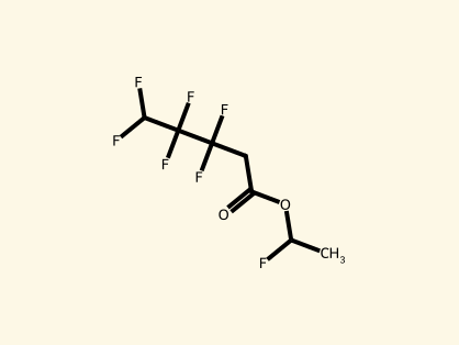 CC(F)OC(=O)CC(F)(F)C(F)(F)C(F)F